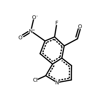 O=Cc1c(F)c([N+](=O)[O-])cc2c(Cl)nccc12